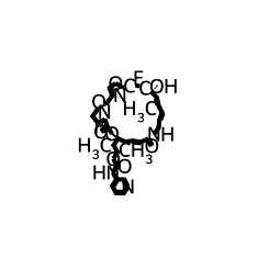 CC1=C\[C@@H](O)C[C@@H](F)Cc2nc(co2)C(=O)N2CCC[C@@H]2C(=O)O[C@H]([C@H](C)COC(=O)Nc2cccnc2)[C@H](C)/C=C/C(=O)NC\C=C\1